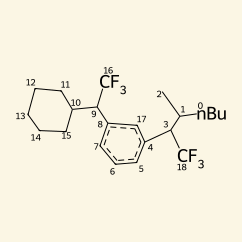 CCCCC(C)C(c1cccc(C(C2CCCCC2)C(F)(F)F)c1)C(F)(F)F